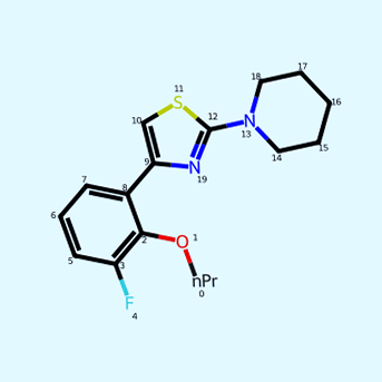 CCCOc1c(F)cccc1-c1csc(N2CCCCC2)n1